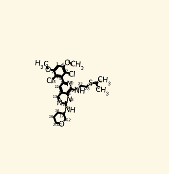 COc1cc(OC)c(Cl)c(-c2cc3cnc(NC4CCCOC4)nc3c(NCCSC(C)C)n2)c1Cl